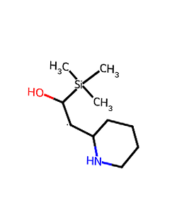 C[Si](C)(C)C(O)[CH]C1CCCCN1